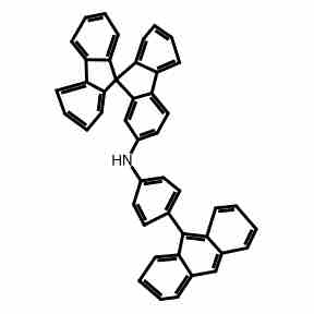 c1ccc2c(c1)-c1ccccc1C21c2ccccc2-c2ccc(Nc3ccc(-c4c5ccccc5cc5ccccc45)cc3)cc21